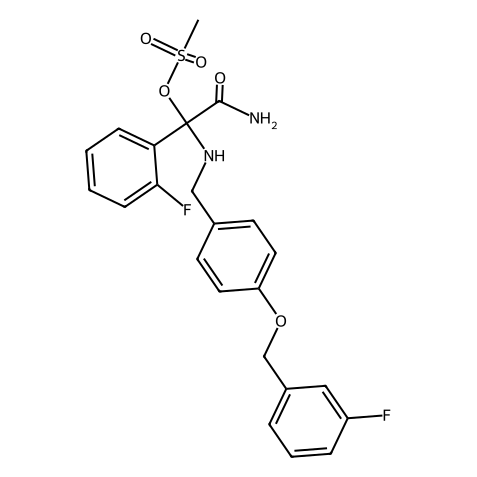 CS(=O)(=O)OC(NCc1ccc(OCc2cccc(F)c2)cc1)(C(N)=O)c1ccccc1F